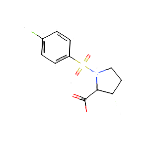 O=C(O)C1[C@@H](F)CCN1S(=O)(=O)c1ccc(F)cc1